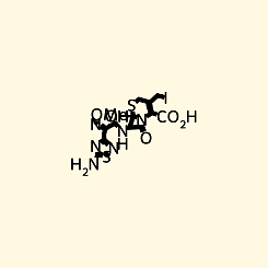 CO/N=C(\C(=O)N[C@@H]1C(=O)N2C(C(=O)O)=C(CI)CS[C@@H]12)c1nsc(N)n1